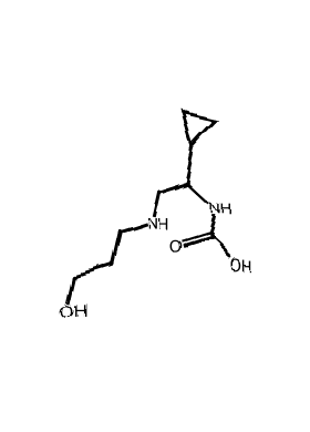 O=C(O)NC(CNCCCO)C1CC1